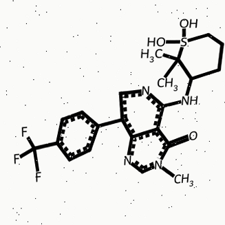 Cn1cnc2c(-c3ccc(C(F)(F)F)cc3)cnc(NC3CCCS(O)(O)C3(C)C)c2c1=O